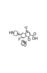 O=C(O)c1cn(C2CC2)c2cc(N3CCNCC3)c(F)cc2c1=O.c1conn1